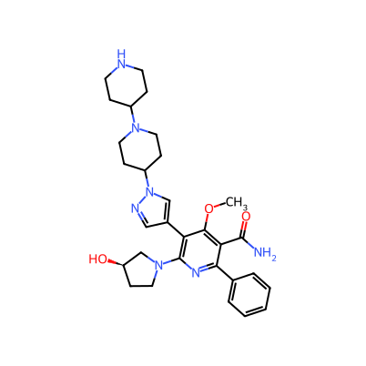 COc1c(C(N)=O)c(-c2ccccc2)nc(N2CC[C@@H](O)C2)c1-c1cnn(C2CCN(C3CCNCC3)CC2)c1